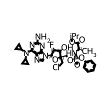 CC(C)OC(=O)[C@H](C)N[P@@](=O)(OC[C@@]1(CCl)O[C@@H](n2cnc3c(N(C4CC4)C4CC4)nc(N)nc32)[C@H](F)[C@@H]1O)Oc1ccccc1